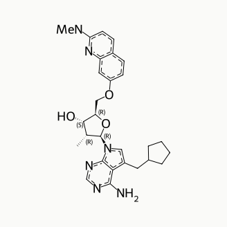 CNc1ccc2ccc(OC[C@H]3O[C@@H](n4cc(CC5CCCC5)c5c(N)ncnc54)[C@H](C)[C@@H]3O)cc2n1